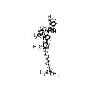 Cc1cc(-c2ccc(C(=O)NS(=O)(=O)c3cccc(N)n3)c(N3C[C@@H](C)CC3(C)C)n2)cnc1OCCOCCOCCOC(C)C